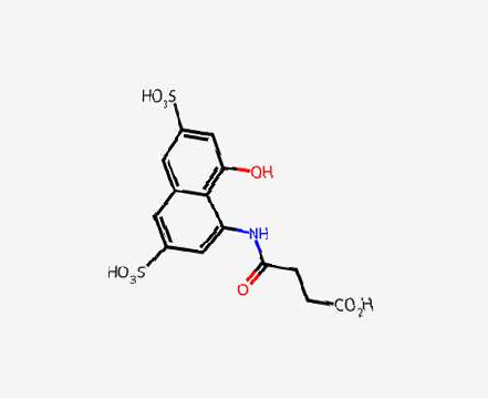 O=C(O)CCC(=O)Nc1cc(S(=O)(=O)O)cc2cc(S(=O)(=O)O)cc(O)c12